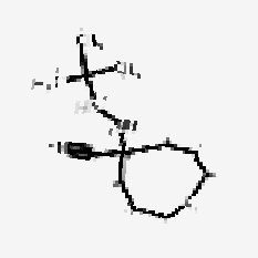 CC(C)(C)NNC1(C#N)CCCCCCC1